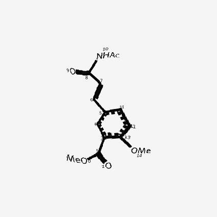 COC(=O)c1cc(/C=C/C(=O)NC(C)=O)ccc1OC